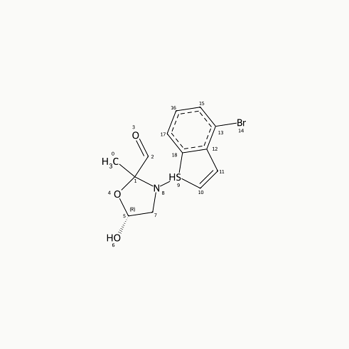 CC1(C=O)O[C@@H](O)CN1[SH]1C=Cc2c(Br)cccc21